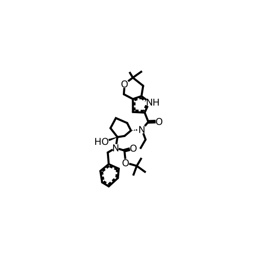 CCN(C(=O)c1cc2c([nH]1)CC(C)(C)OC2)[C@H]1CCC[C@@](O)(N(Cc2ccccc2)C(=O)OC(C)(C)C)C1